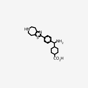 NC(c1ccc(-c2nc3c(s2)CCNCC3)cc1)C1CCC(C(=O)O)CC1